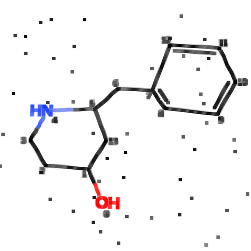 OC1CCNC(Cc2ccccc2)C1